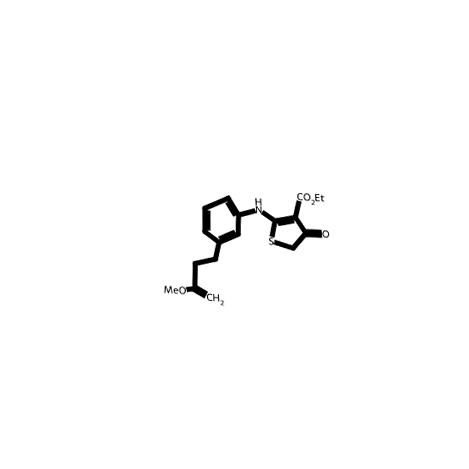 C=C(CCc1cccc(NC2=C(C(=O)OCC)C(=O)CS2)c1)OC